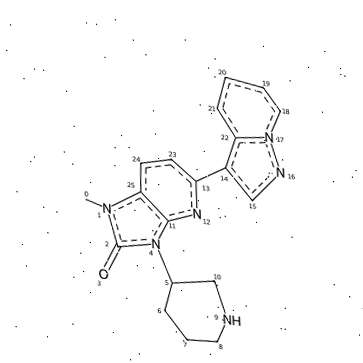 Cn1c(=O)n(C2CCCNC2)c2nc(-c3cnn4ccccc34)ccc21